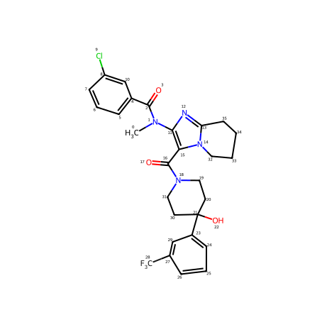 CN(C(=O)c1cccc(Cl)c1)c1nc2n(c1C(=O)N1CCC(O)(c3cccc(C(F)(F)F)c3)CC1)CCCC2